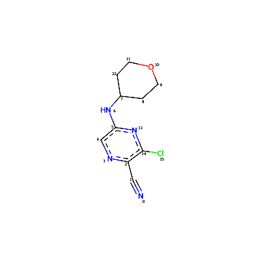 N#Cc1ncc(NC2CCOCC2)nc1Cl